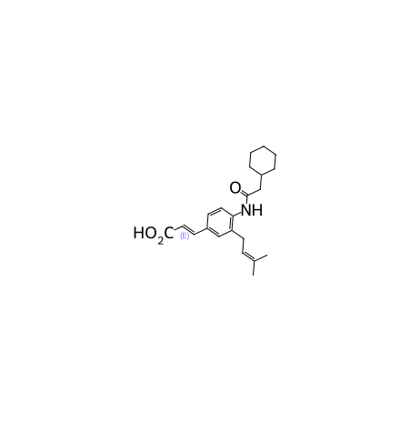 CC(C)=CCc1cc(/C=C/C(=O)O)ccc1NC(=O)CC1CCCCC1